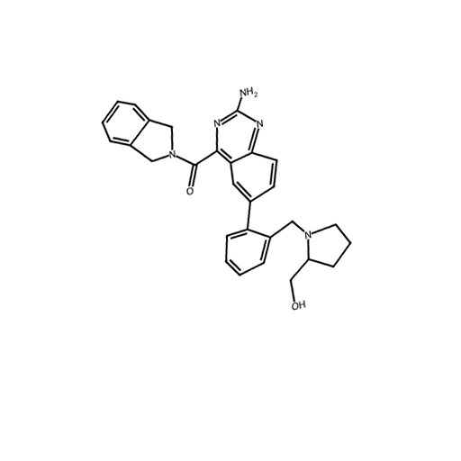 Nc1nc(C(=O)N2Cc3ccccc3C2)c2cc(-c3ccccc3CN3CCCC3CO)ccc2n1